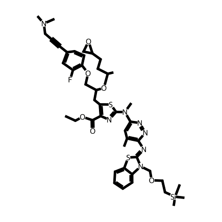 CCOC(=O)c1nc(N(C)c2cc(C)c(/N=c3\sc4ccccc4n3COCC[Si](C)(C)C)nn2)sc1CC(COc1ccc(C#CCN(C)C)cc1F)OC(C)CCC1CO1